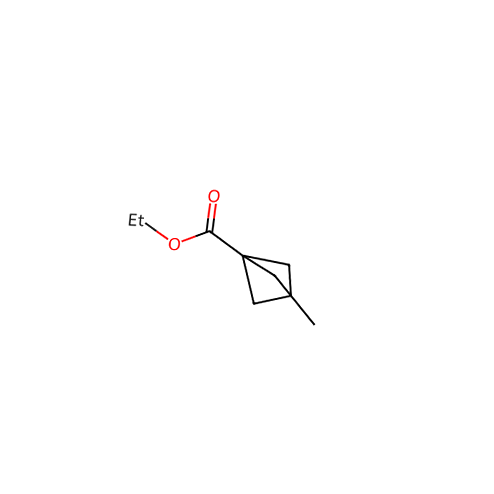 CCOC(=O)C12CC(C)(C1)C2